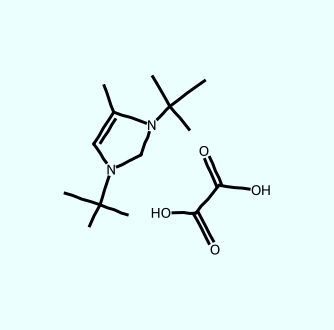 CC1=CN(C(C)(C)C)CN1C(C)(C)C.O=C(O)C(=O)O